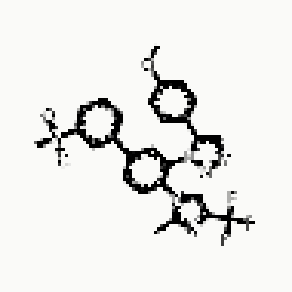 COc1ccc(-c2cnnn2-c2cc(-c3cccc(S(C)(=O)=O)c3)ccc2-n2cc(C(F)(F)F)nc2C)cc1